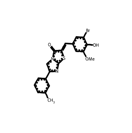 COc1cc(/C=c2\sc3nc(-c4cccc(C)c4)cn3c2=O)cc(Br)c1O